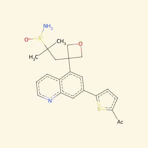 CC(=O)c1ccc(-c2cc(C3(CC(C)(C)[S+](N)[O-])COC3)c3cccnc3c2)s1